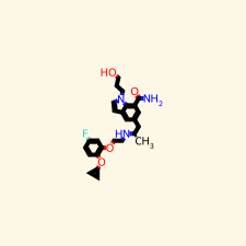 C[C@H](Cc1cc(C(N)=O)c2c(ccn2CCCO)c1)NCCOc1cc(F)ccc1OC1CC1